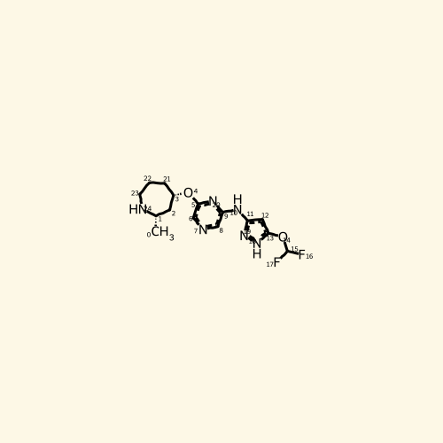 C[C@H]1C[C@@H](Oc2cncc(Nc3cc(OC(F)F)[nH]n3)n2)CCCN1